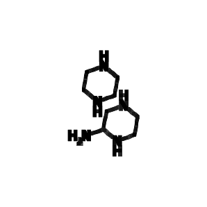 C1CNCCN1.NC1CNCCN1